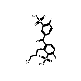 CCCCc1c(C(=O)c2ccc(F)c(S(=O)(=O)O)c2)ccc(F)c1S(=O)(=O)O